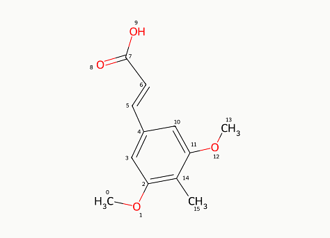 COc1cc(/C=C/C(=O)O)cc(OC)c1C